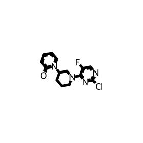 O=c1ccccn1C1CCCN(c2nc(Cl)ncc2F)C1